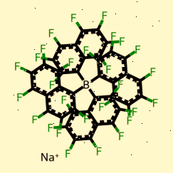 Fc1c(F)c(F)c2c([B-](c3c(F)c(F)c(F)c4c(F)c(F)c(F)c(F)c34)(c3c(F)c(F)c(F)c4c(F)c(F)c(F)c(F)c34)c3c(F)c(F)c(F)c4c(F)c(F)c(F)c(F)c34)c(F)c(F)c(F)c2c1F.[Na+]